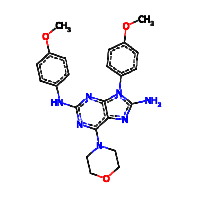 COc1ccc(Nc2nc(N3CCOCC3)c3nc(N)n(-c4ccc(OC)cc4)c3n2)cc1